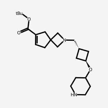 CC(C)(C)OC(=O)C1=CCC2(C1)CN(C[C@H]1C[C@H](OC3CCNCC3)C1)C2